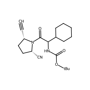 C#C[C@H]1CC[C@@H](C#N)N1C(=O)C(NC(=O)OC(C)(C)C)C1CCCCC1